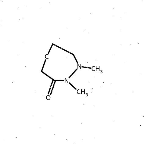 CN1CCCCC(=O)N1C